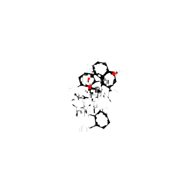 CC(C)c1cccc(C(C)C)c1NB(N(C)C)[B-](Nc1c(C(C)C)cccc1C(C)C)(N(C)C)[Ti]([CH3])([CH3])[Ti]([Cl])([Cl])[B-](Nc1c(C(C)C)cccc1C(C)C)(B(Nc1c(C(C)C)cccc1C(C)C)N(C)C)N(C)C